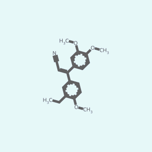 CCc1cc(/C(=C/C#N)c2ccc(OC)c(OC)c2)ccc1OC